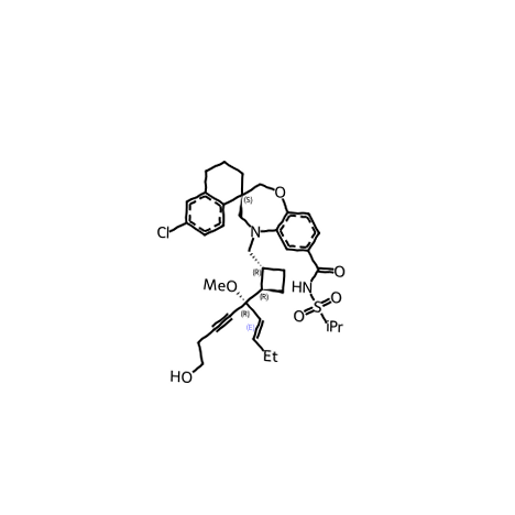 CC/C=C/[C@](C#CCCO)(OC)[C@@H]1CC[C@H]1CN1C[C@@]2(CCCc3cc(Cl)ccc32)COc2ccc(C(=O)NS(=O)(=O)C(C)C)cc21